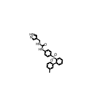 Cc1cccc(-c2ccccc2S(=O)(=O)c2ccc(NC(=O)NCc3cn[nH]c3)cc2)c1